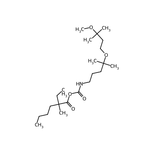 CCCCC(C)(CC)C(=O)OC(=O)NCCCC(C)(C)OCCC(C)(C)OC